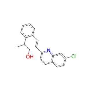 [CH2]C(CO)c1ccccc1C=Cc1ccc2ccc(Cl)cc2n1